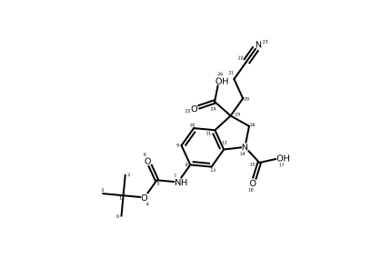 CC(C)(C)OC(=O)Nc1ccc2c(c1)N(C(=O)O)CC2(CCC#N)C(=O)O